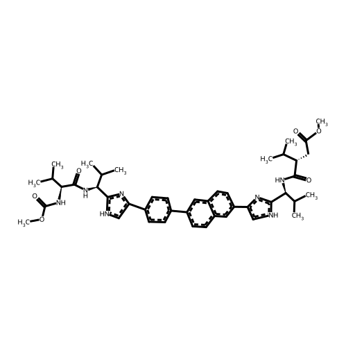 COC(=O)C[C@H](C(=O)N[C@H](c1nc(-c2ccc3cc(-c4ccc(-c5c[nH]c([C@@H](NC(=O)[C@@H](NC(=O)OC)C(C)C)C(C)C)n5)cc4)ccc3c2)c[nH]1)C(C)C)C(C)C